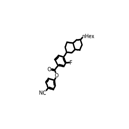 CCCCCCC1CCC2CC(c3ccc(C(=O)Oc4ccc(C#N)cc4)cc3F)CCC2C1